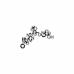 CC1(C)OC2C(COc3ccc(C(=O)O)c(Cl)n3)OC(n3cnc4c(NC(=O)Nc5ccccc5)ncnc43)C2O1